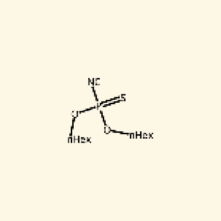 [C-]#[N+]P(=S)(OCCCCCC)OCCCCCC